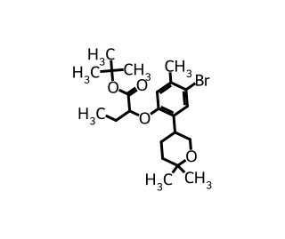 CCC(Oc1cc(C)c(Br)cc1C1CCC(C)(C)OC1)C(=O)OC(C)(C)C